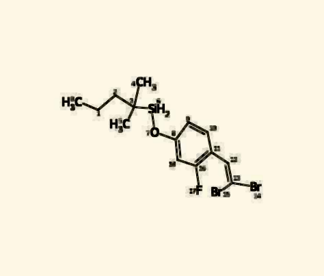 CCCC(C)(C)[SiH2]Oc1ccc(C=C(Br)Br)c(F)c1